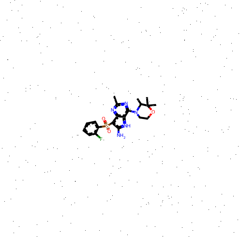 Cc1nc(N2CCOC(C)(C)C2C)c2[nH]c(N)c(S(=O)(=O)c3ccccc3F)c2n1